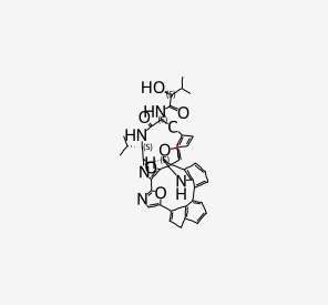 CC(C)[C@H](O)C(=O)N[C@H]1Cc2ccc3c(c2)C24c5cccc(c5N[C@H]2O3)-c2cccc3c2C(=CC3)c2cnc(o2)-c2nc(oc24)[C@H](C(C)C)NC1=O